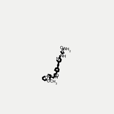 C[C@H](OC1CCCCO1)c1nccn1Cc1cc(-c2ccc(C#Cc3ccc(CNC4CN(C(N)=O)C4)nc3)cc2)on1